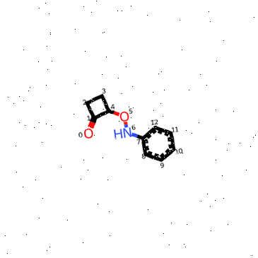 O=C1CCC1ONc1ccccc1